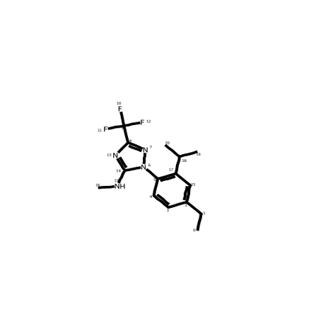 CCc1ccc(-n2nc(C(F)(F)F)nc2NC)c(C(C)C)c1